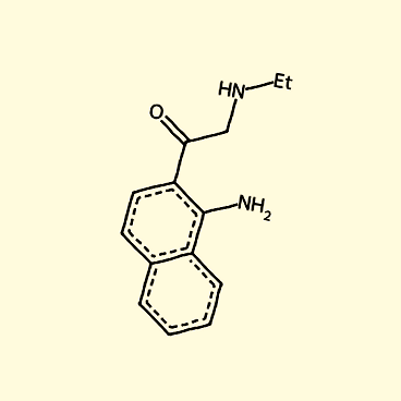 CCNCC(=O)c1ccc2ccccc2c1N